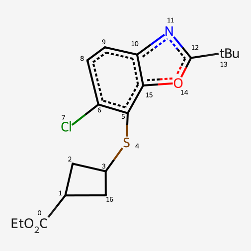 CCOC(=O)C1CC(Sc2c(Cl)ccc3nc(C(C)(C)C)oc23)C1